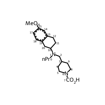 CCCN(CC1CCN(C(=O)O)CC1)C1CCc2cc(OC)ccc2C1